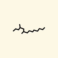 CCCCCCCCC(C)CC(C)CCC